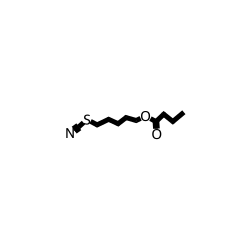 CCCC(=O)OCCCCCSC#N